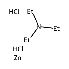 CCN(CC)CC.Cl.Cl.[Zn]